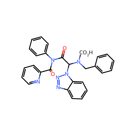 O=C(c1ccccn1)N(C(=O)C(N(Cc1ccccc1)C(=O)O)n1nnc2ccccc21)c1ccccc1